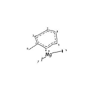 Cc1cc[c]cc1.[I][Mg][I]